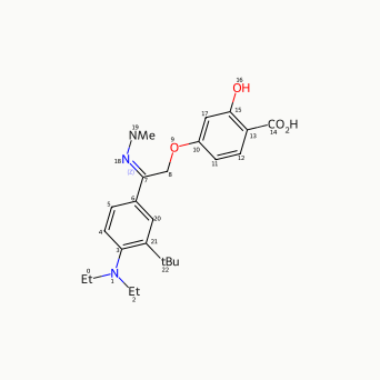 CCN(CC)c1ccc(/C(COc2ccc(C(=O)O)c(O)c2)=N/NC)cc1C(C)(C)C